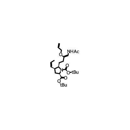 C=CCO/C(=C\NC(C)=O)CC[C@@H]1[C@H](/C=C\C)C[C@H](C(=O)OC(C)(C)C)N1C(=O)OC(C)(C)C